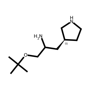 CC(C)(C)OCC(N)C[C@@H]1CCNC1